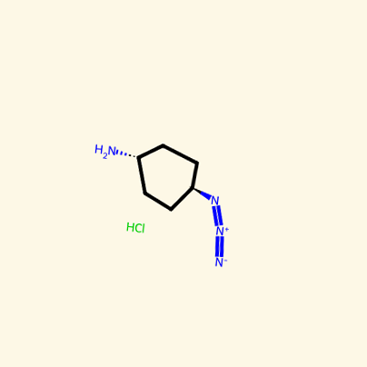 Cl.[N-]=[N+]=N[C@H]1CC[C@H](N)CC1